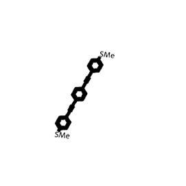 CSc1ccc(C#Cc2ccc(C#Cc3ccc(SC)cc3)cc2)cc1